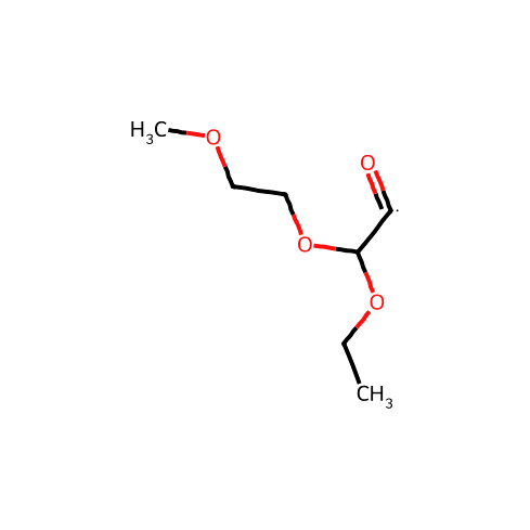 CCOC([C]=O)OCCOC